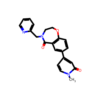 Cn1ccc(-c2ccc3c(c2)C(=O)N(Cc2ccccn2)CCO3)cc1=O